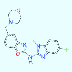 Cn1c(Nc2nc3cc(CN4CCOCC4)ccc3o2)nc2cc(F)ccc21